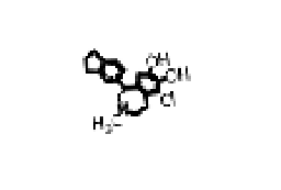 CN1CCc2c(cc(O)c(O)c2Cl)C(c2ccc3c(c2)CCC3)C1